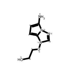 Nc1ccc2n(OCCO)cnn12